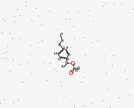 CCCc1ccc(C(C)OC(C)=O)cc1